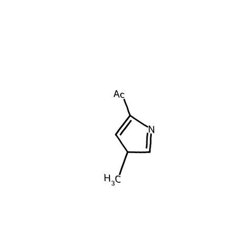 CC(=O)C1=CC(C)C=N1